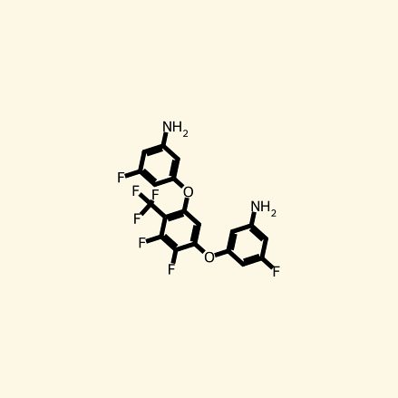 Nc1cc(F)cc(Oc2cc(Oc3cc(N)cc(F)c3)c(C(F)(F)F)c(F)c2F)c1